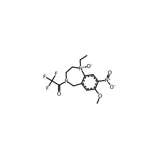 CC[N+]1([O-])CCN(C(=O)C(F)(F)F)Cc2cc(OC)c([N+](=O)[O-])cc21